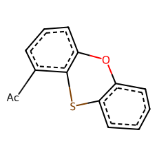 CC(=O)c1cccc2c1Sc1ccccc1O2